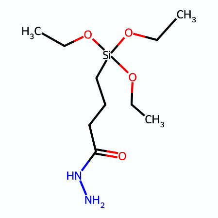 CCO[Si](CCCC(=O)NN)(OCC)OCC